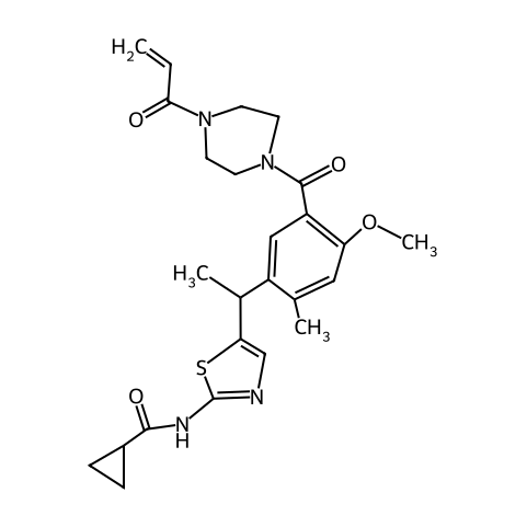 C=CC(=O)N1CCN(C(=O)c2cc(C(C)c3cnc(NC(=O)C4CC4)s3)c(C)cc2OC)CC1